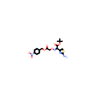 CC(C)(C)OC(=O)/C(=N\OCC(=O)OCc1ccc([N+](=O)[O-])cc1)c1csc(N)n1